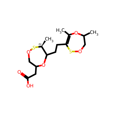 CC1=C(CCC2OC(CC(=O)O)COS[C@H]2C)SOCC(C)O1